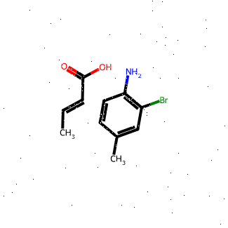 C/C=C/C(=O)O.Cc1ccc(N)c(Br)c1